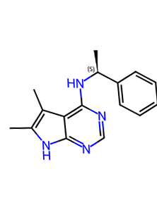 Cc1[nH]c2ncnc(N[C@@H](C)c3ccccc3)c2c1C